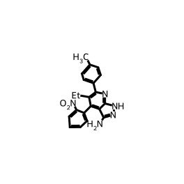 CCc1c(-c2ccc(C)cc2)nc2[nH]nc(N)c2c1-c1ccccc1[N+](=O)[O-]